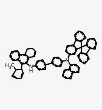 CC1C=CC=CC1c1c(Nc2ccc(-c3ccc(N(c4ccc5c(c4)C4(c6ccccc6-c6ccccc64)c4ccccc4-5)c4cccc5ccccc45)cc3)cc2)c2c(c3ccccc13)CCC=C2